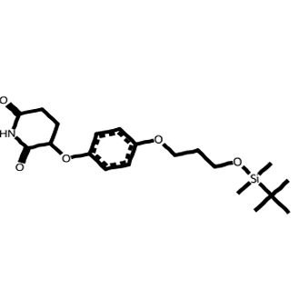 CC(C)(C)[Si](C)(C)OCCCOc1ccc(OC2CCC(=O)NC2=O)cc1